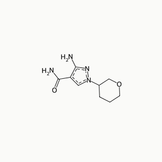 NC(=O)c1cn(C2CCCOC2)nc1N